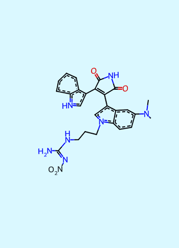 CN(C)c1ccc2c(c1)c(C1=C(c3c[nH]c4ccccc34)C(=O)NC1=O)cn2CCCNC(N)=N[N+](=O)[O-]